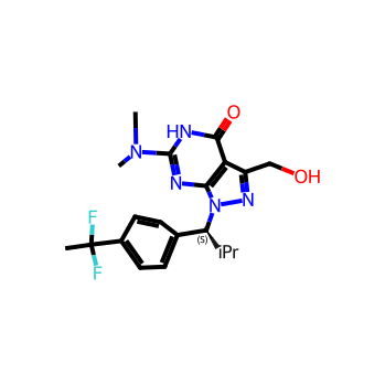 CC(C)[C@@H](c1ccc(C(C)(F)F)cc1)n1nc(CO)c2c(=O)[nH]c(N(C)C)nc21